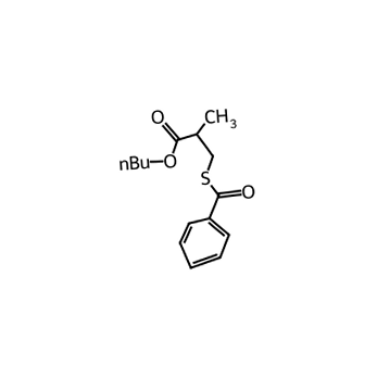 CCCCOC(=O)C(C)CSC(=O)c1ccccc1